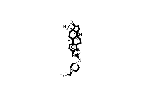 CCN1CCN(Nc2nc3c(s2)C2CC[C@@H]4[C@H](CC[C@]5(C)C(=O)CC[C@@H]45)[C@@]2(C)CC3)CC1